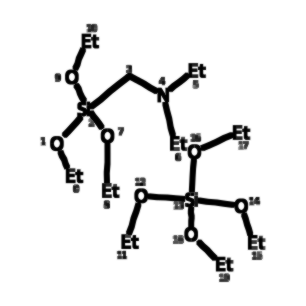 CCO[Si](CN(CC)CC)(OCC)OCC.CCO[Si](OCC)(OCC)OCC